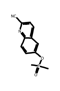 CP(C)(=O)Oc1ccc2nc(C#N)ccc2c1